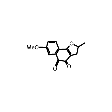 COc1ccc2c(c1)C(=O)C(=O)C1=C2OC(C)C1